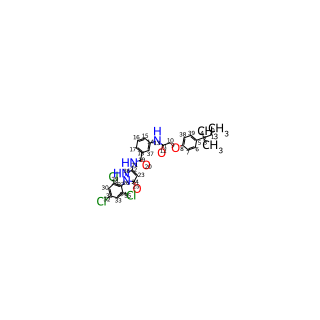 CCC(C)(C)c1ccc(OCC(=O)Nc2cccc(C(=O)Nc3cc(=O)n(-c4c(Cl)cc(Cl)cc4Cl)[nH]3)c2)cc1